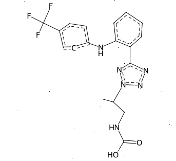 CC(CNC(=O)O)n1nnc(-c2ccccc2Nc2ccc(C(F)(F)F)cc2)n1